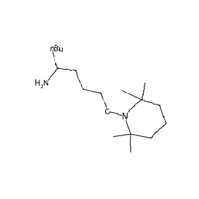 CCCCC(N)CCCON1C(C)(C)CCCC1(C)C